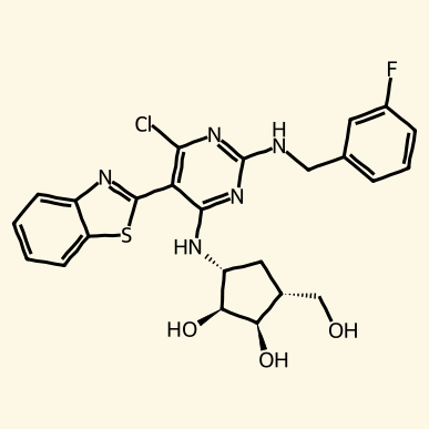 OC[C@H]1C[C@@H](Nc2nc(NCc3cccc(F)c3)nc(Cl)c2-c2nc3ccccc3s2)[C@H](O)[C@@H]1O